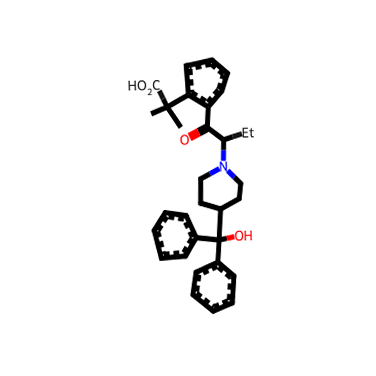 CCC(C(=O)c1ccccc1C(C)(C)C(=O)O)N1CCC(C(O)(c2ccccc2)c2ccccc2)CC1